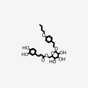 CCCCOc1ccc(CCOC2OC(COC(=O)/C=C/c3ccc(O)c(O)c3)C(O)C(O)C2O)cc1